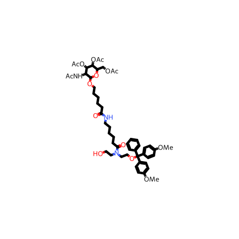 COc1ccc(C(OCCN(CCO)C(=O)CCCCCNC(=O)CCCCCOC2OC(COC(C)=O)C(OC(C)=O)C(OC(C)=O)C2NC(C)=O)(c2ccccc2)c2ccc(OC)cc2)cc1